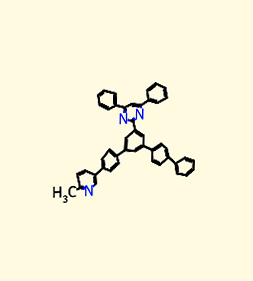 Cc1ccc(-c2ccc(-c3cc(-c4ccc(-c5ccccc5)cc4)cc(-c4nc(-c5ccccc5)cc(-c5ccccc5)n4)c3)cc2)cn1